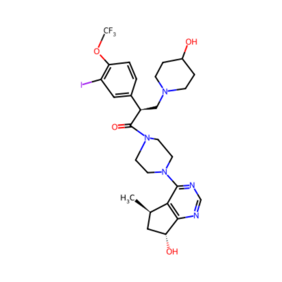 C[C@@H]1C[C@@H](O)c2ncnc(N3CCN(C(=O)[C@H](CN4CCC(O)CC4)c4ccc(OC(F)(F)F)c(I)c4)CC3)c21